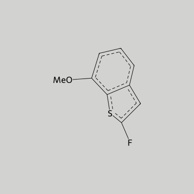 COc1cccc2cc(F)sc12